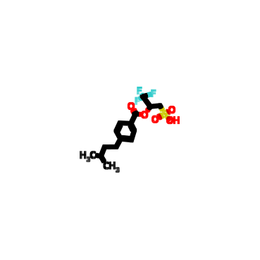 CC(C)CCc1ccc(C(=O)OC(CS(=O)(=O)O)C(F)(F)F)cc1